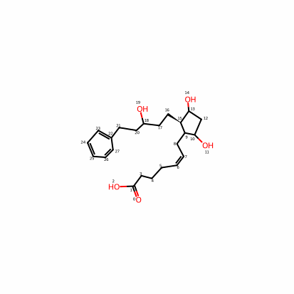 O=C(O)CCC/C=C\CC1C(O)CC(O)[C@@H]1CCC(O)CCc1ccccc1